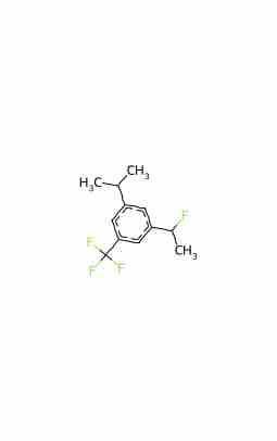 CC(C)c1cc(C(C)F)cc(C(F)(F)F)c1